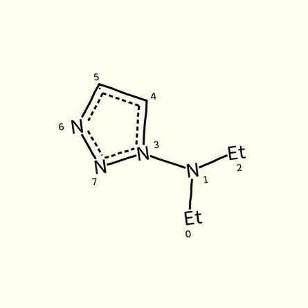 CCN(CC)n1c[c]nn1